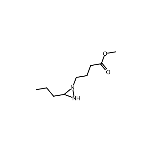 CCCC1NN1CCCC(=O)OC